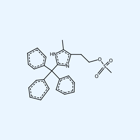 Cc1[nH]c(C(c2ccccc2)(c2ccccc2)c2ccccc2)nc1CCOS(C)(=O)=O